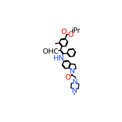 Cc1cc(C(=O)OC(C)C)ccc1/C(C=O)=C(/Nc1ccc2c(c1)CCN2C(=O)CN1CCN(C)CC1)c1ccccc1